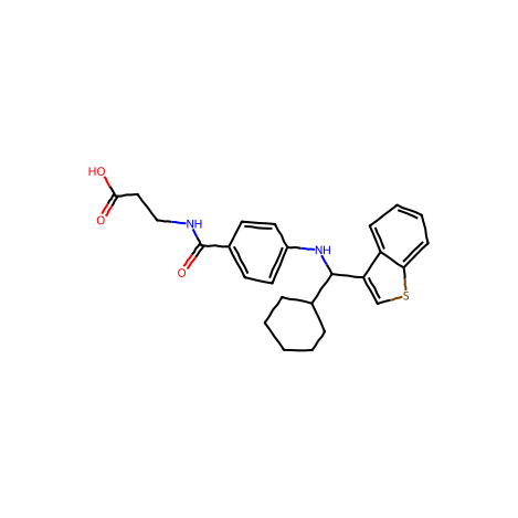 O=C(O)CCNC(=O)c1ccc(NC(c2csc3ccccc23)C2CCCCC2)cc1